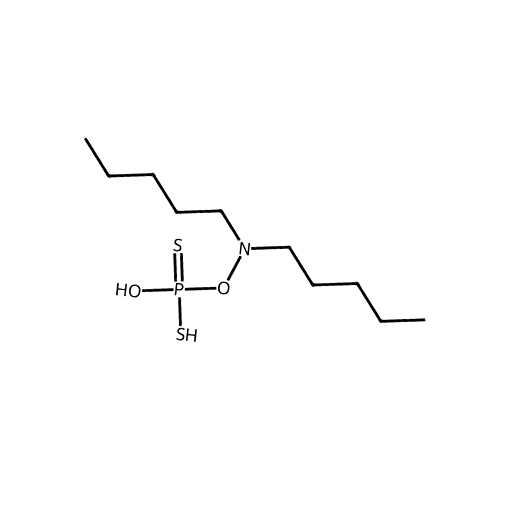 CCCCCN(CCCCC)OP(O)(=S)S